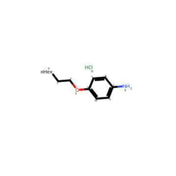 CCCCCCCCOc1ccc(N)cc1.Cl